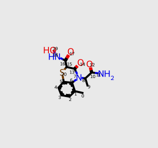 Cc1cccc2c1N(C(C)C(N)=O)C(=O)C(C(=O)NO)S2